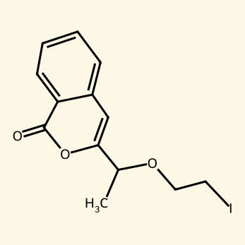 CC(OCCI)c1cc2ccccc2c(=O)o1